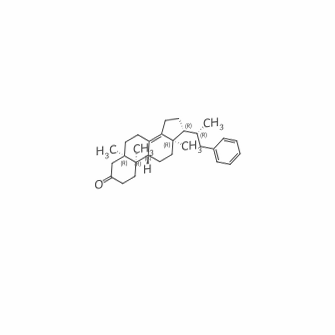 C[C@H](Cc1ccccc1)[C@H]1CCC2=C3CC[C@]4(C)CC(=O)CC[C@]4(C)[C@H]3CC[C@@]21C